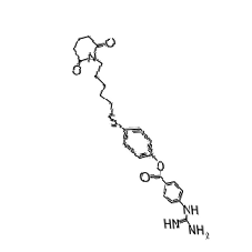 N=C(N)Nc1ccc(C(=O)Oc2ccc(SCCCCCN3C(=O)CCCC3=O)cc2)cc1